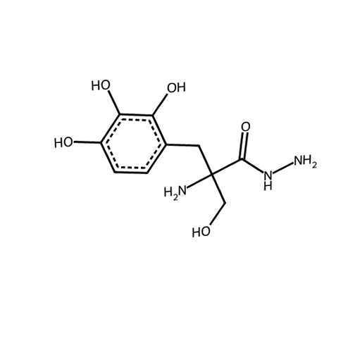 NNC(=O)C(N)(CO)Cc1ccc(O)c(O)c1O